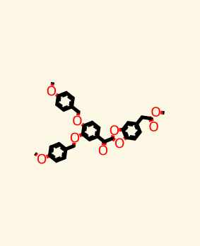 COC(=O)Cc1ccc2c(c1)OC(C(=O)c1ccc(OCc3ccc(OC)cc3)c(OCc3ccc(OC)cc3)c1)O2